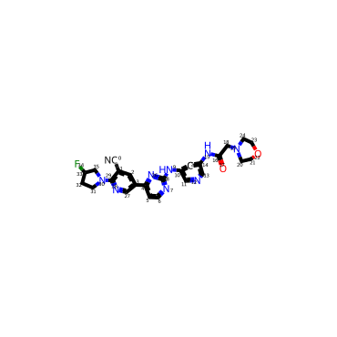 N#Cc1cc(-c2ccnc(Nc3cncc(NC(=O)CN4CCOCC4)c3)n2)cnc1N1CCC(F)C1